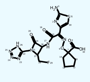 Nc1nc(C(=NOC2(C(=O)O)CCCC2)C(=O)NC2C(=O)N(c3nnn[nH]3)C2CF)cs1